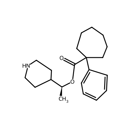 C[C@H](OC(=O)C1(c2ccccc2)CCCCCC1)C1CCNCC1